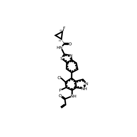 C=CC(=O)Nc1c(F)c(Cl)c(-c2ccc3nc(NC(=O)[C@@H]4C[C@@H]4F)sc3c2)c2cn[nH]c12